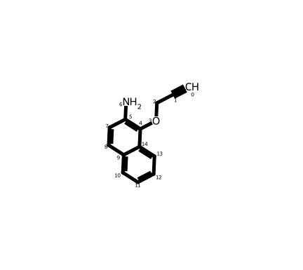 C#CCOc1c(N)ccc2ccccc12